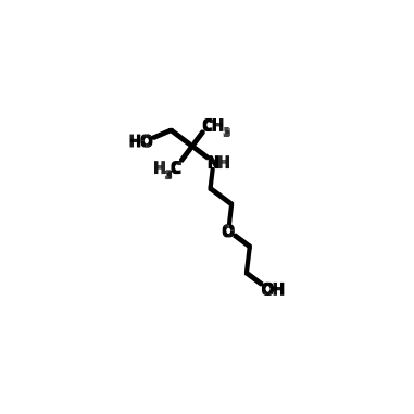 CC(C)(CO)NCCOCCO